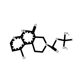 CC(C)(I)OC(=O)N1CCc2c(c(=O)[nH]c3nccc(Cl)c23)C1